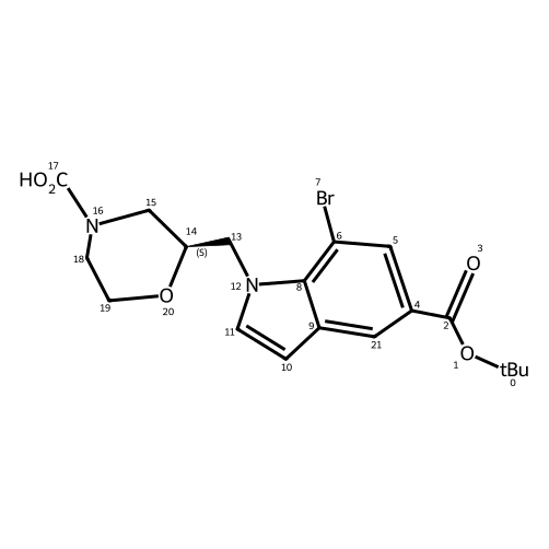 CC(C)(C)OC(=O)c1cc(Br)c2c(ccn2C[C@@H]2CN(C(=O)O)CCO2)c1